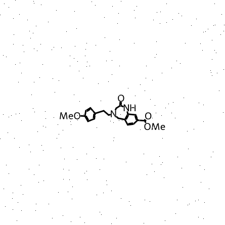 COC(=O)c1ccc2c(c1)NC(=O)CN(CCc1ccc(OC)cc1)C2